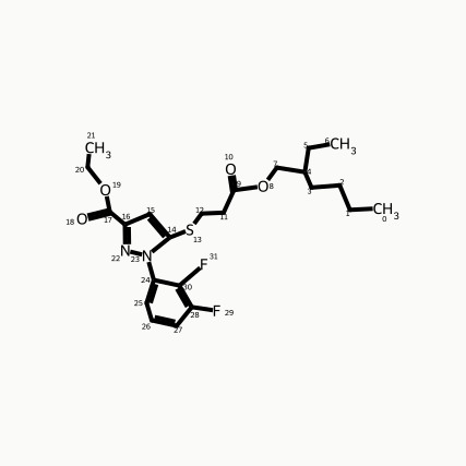 CCCCC(CC)COC(=O)CCSc1cc(C(=O)OCC)nn1-c1cccc(F)c1F